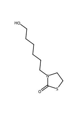 O=C1SCCN1CCCCCCO